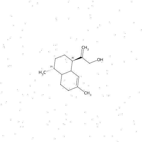 C=C(CO)[C@@H]1CC[C@@H](C)C2CCC(C)=CC21